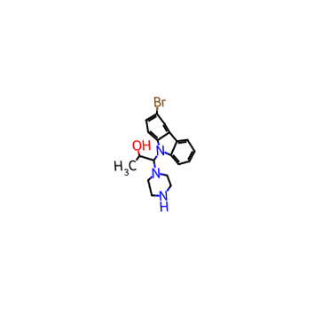 CC(O)C(N1CCNCC1)n1c2ccccc2c2cc(Br)ccc21